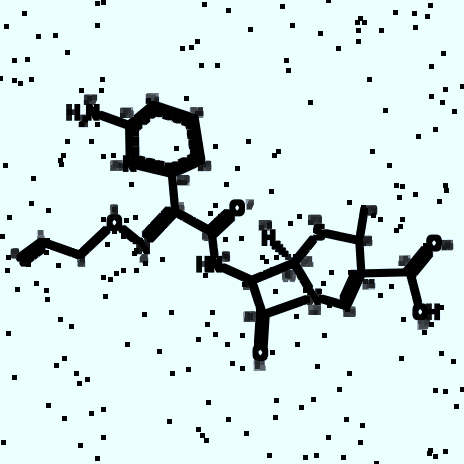 C=CCON=C(C(=O)NC1C(=O)N2C=C(C(=O)O)C(C)S[C@H]12)c1cccc(N)n1